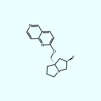 F[C@H]1CN2CCC[C@@]2(COc2ccc3cnccc3n2)C1